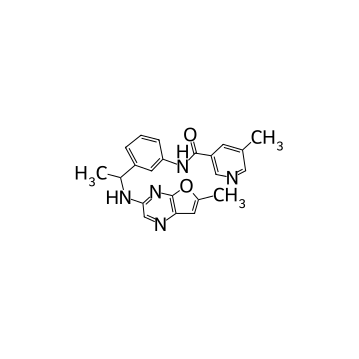 Cc1cncc(C(=O)Nc2cccc(C(C)Nc3cnc4cc(C)oc4n3)c2)c1